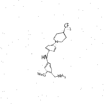 COc1cc(Nc2ccc(N3CCC(C(F)(F)F)CC3)cc2)ccc1CN